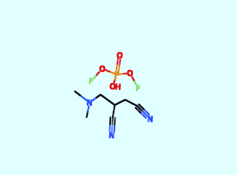 CN(C)CC(C#N)CC#N.O=P(O)(OF)OF